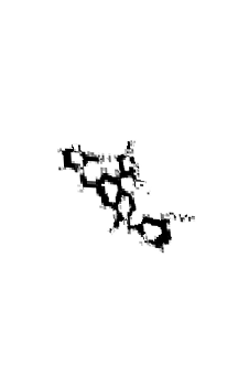 COc1ccnc(CN2CCc3c(cc(Cn4ccoc4=N)cc3-c3cn(C)nc3C(F)(F)F)C2=O)c1